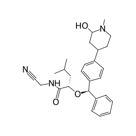 CC(C)C[C@H](O[C@H](c1ccccc1)c1ccc(C2CCN(C)C(O)C2)cc1)C(=O)NCC#N